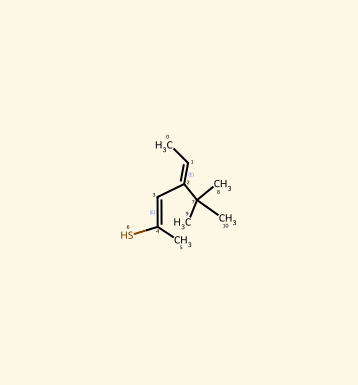 C/C=C(\C=C(/C)S)C(C)(C)C